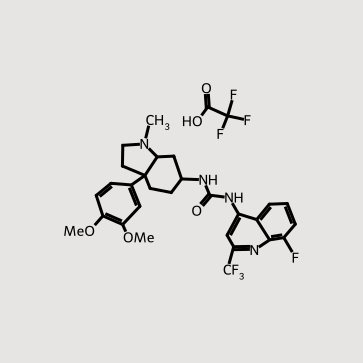 COc1ccc(C23CCC(NC(=O)Nc4cc(C(F)(F)F)nc5c(F)cccc45)CC2N(C)CC3)cc1OC.O=C(O)C(F)(F)F